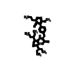 CCCn1cnc(OC)c(-c2ccc(C[C@H](Nc3nc(N(CC)CC)ncc3C(CC)CC)C(=O)O)cc2)c1=O